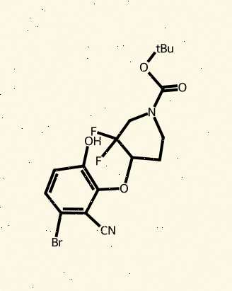 CC(C)(C)OC(=O)N1CCC(Oc2c(O)ccc(Br)c2C#N)C(F)(F)C1